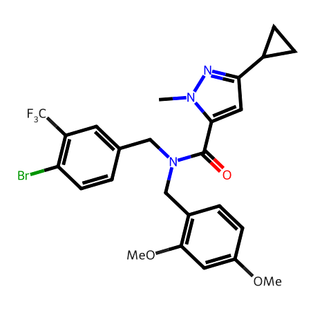 COc1ccc(CN(Cc2ccc(Br)c(C(F)(F)F)c2)C(=O)c2cc(C3CC3)nn2C)c(OC)c1